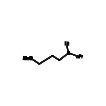 CCCN(CC)CCCOC